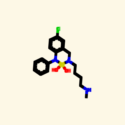 CNCCCCN1Cc2cc(Cl)ccc2N(c2ccccc2)S1(O)O